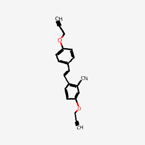 C#CCOc1ccc(C=Cc2ccc(OCC#C)cc2C#N)cc1